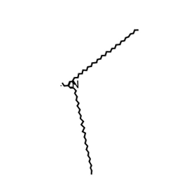 C[CH]c1cc(CCCCCCCCCCCCCCCCCCCCCCCCCCCC)nc(CCCCCCCCCCCCCCCCCCCCCCCCCCCC)c1